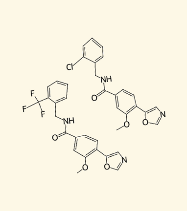 COc1cc(C(=O)NCc2ccccc2C(F)(F)F)ccc1-c1cnco1.COc1cc(C(=O)NCc2ccccc2Cl)ccc1-c1cnco1